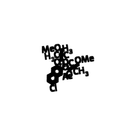 COCC(C)(C)C(=O)Oc1cc2ccc(Cl)cc2c(C(C)=O)c1OC(=O)C(C)(C)COC